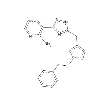 Nc1ncccc1-c1nnn(Cc2ccc(OCc3ccccc3)s2)n1